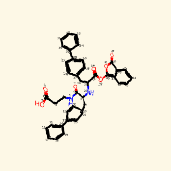 O=C(O)CCNC(=O)[C@H](Cc1ccc(-c2ccccc2)cc1)NC(Cc1ccc(-c2ccccc2)cc1)C(=O)OC1=C2C=CC=CC2C(=O)O1